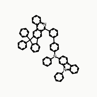 c1ccc(N(c2ccc(-c3cccc(-c4nc5ccccc5c5cc6c(cc45)-c4ccccc4C6(c4ccccc4)c4ccccc4)c3)cc2)c2ccc3c4ccccc4n(-c4ccccc4)c3c2)cc1